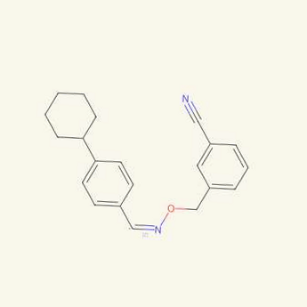 N#Cc1cccc(CO/N=[C]\c2ccc(C3CCCCC3)cc2)c1